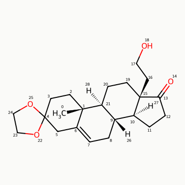 C[C@]12CCC3(CC1=CC[C@H]1[C@@H]4CCC(=O)[C@@]4(CCO)CC[C@@H]12)OCCO3